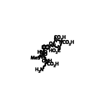 CSCC[C@H](NC(=O)c1cccc2c1CCN(C(=O)CN1CCN(CC(=O)O)CCN(CC(=O)O)CCN(CC(=O)O)CC1)C2)C(=O)NCC(=O)N[C@@H](CCCCN)C(=O)O